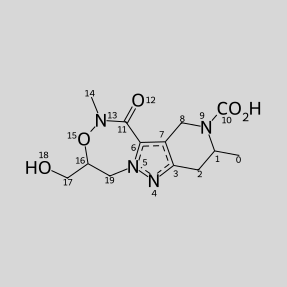 CC1Cc2nn3c(c2CN1C(=O)O)C(=O)N(C)OC(CO)C3